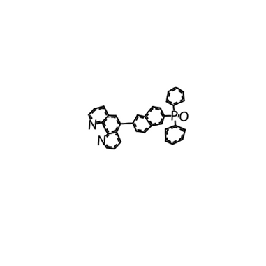 O=P(c1ccccc1)(c1ccccc1)c1ccc2cc(-c3cc4cccnc4c4ncccc34)ccc2c1